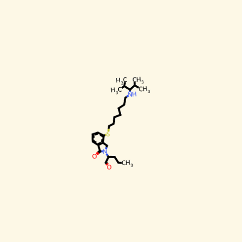 CCCC(C=O)N1Cc2c(SCCCCCCCNC(C(C)C)C(C)C)cccc2C1=O